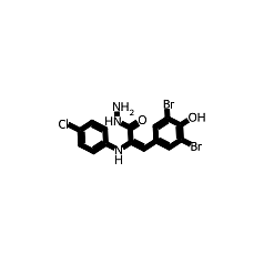 NNC(=O)/C(=C\c1cc(Br)c(O)c(Br)c1)Nc1ccc(Cl)cc1